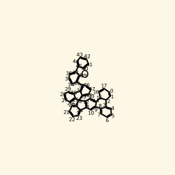 C1=CC2c3ccccc3-c3cc4c(cc3C2C=C1)C1(c2ccccc2-4)c2ccccc2-c2c(-c3cccc4c3oc3ccccc34)cccc21